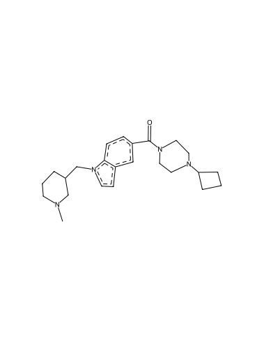 CN1CCCC(Cn2ccc3cc(C(=O)N4CCN(C5CCC5)CC4)ccc32)C1